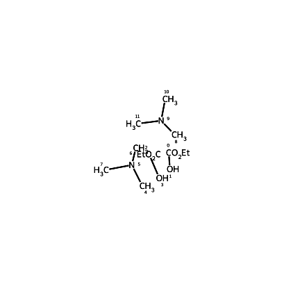 CCOC(=O)O.CCOC(=O)O.CN(C)C.CN(C)C